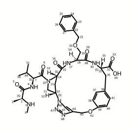 CN[C@@H](C)C(=O)N[C@H](C(=O)N1C[C@@H]2C[C@H]1C(=O)N[C@@H](COCc1ccccc1)C(=O)N[C@H](C(=O)O)Cc1ccc(cc1)OCc1cn2nn1)C(C)C